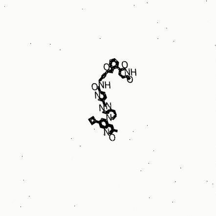 Cc1cc2c(N3CCCc4nc(-c5ccc(C(=O)NCC#Cc6cc7c(C8CCC(=O)NC8=O)cccc7o6)nc5)ncc43)cc(C3CCC3)cc2n(C)c1=O